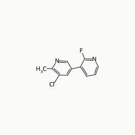 Cc1ncc(-c2cccnc2F)cc1Cl